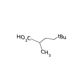 CC(CCC(C)(C)C)C(=O)O